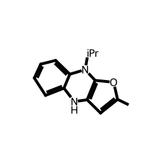 Cc1cc2c(o1)N(C(C)C)c1ccccc1N2